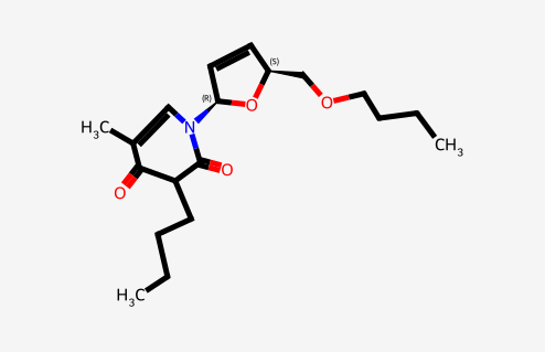 CCCCOC[C@@H]1C=C[C@H](N2C=C(C)C(=O)C(CCCC)C2=O)O1